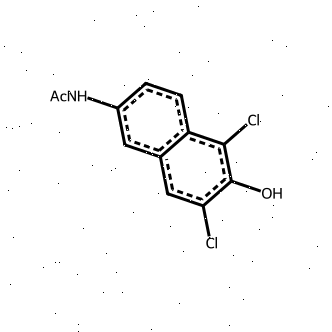 CC(=O)Nc1ccc2c(Cl)c(O)c(Cl)cc2c1